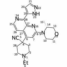 CCN1CCC(C#N)(c2cc(N3CCOC[C@H]3C)nc3c(-c4ccn[nH]4)nccc23)CC1